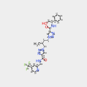 CC(CCn1cc(C(=O)N[C@@H](CO)c2ccccc2)nn1)Cn1cc(C(=O)NCc2cc(C(F)(F)F)ccn2)nn1